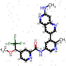 CNc1cc2ncc(-c3cc(NC(=O)c4cc([C@@H](OC)C(F)(F)F)ccn4)cnc3C)cc2cn1